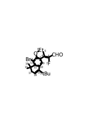 CCOc1c(C(C)=C(F)C=O)cc2c(c1Br)C(C)(C)CC=C2C(C)(C)C